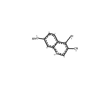 COc1ccc2c(C(C)C)c(C#N)cnc2c1